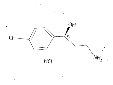 Cl.NCC[C@H](O)c1ccc(Cl)cc1